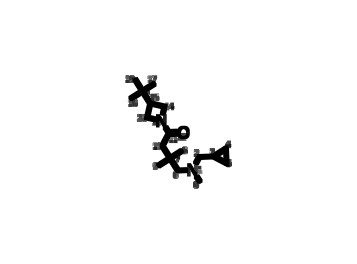 CN(CC1CC1)CC(C)(C)CC(=O)N1CC(C(C)(C)C)C1